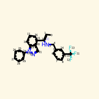 C/C=C(\NCc1cccc(C(F)(F)F)c1)c1cccc2c1cnn2-c1ccccc1